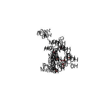 CCCCCOc1ccc(S(=O)(=O)NCCCCCNCC2[C@H](O)C3C4C[C@H](CC[C@H]4O)[C@H]4NC(=O)[C@@H]5NC(=O)[C@H](CC(N)=O)NC(=O)[C@H](NC(=O)[C@@H](CC(C)C)NC)[C@H](O)[C@H]6CC[C@@H](Oc7cc5cc(c7O[C@@H]5C[C@H](CO)[C@@H](O)[C@H](O)[C@H]5O[C@H]5C[C@](C)(N)[C@H](O)[C@H](C)O5)O[C@@H]5CC[C@@H](C[C@@H]5Cl)[C@@H](O)[C@H](NC4=O)C(=O)N[C@H](C(=O)NC4C5CC7CC(C5)CC4C7)C3C[C@@H]2O)[C@H](Cl)C6)cc1